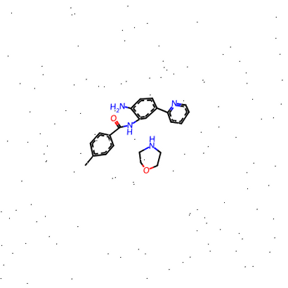 C1COCCN1.Cc1ccc(C(=O)Nc2cc(-c3ccccn3)ccc2N)cc1